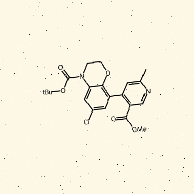 COC(=O)c1cnc(C)cc1-c1cc(Cl)cc2c1OCCN2C(=O)OC(C)(C)C